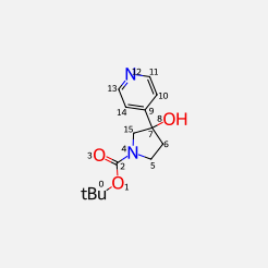 CC(C)(C)OC(=O)N1CCC(O)(c2ccncc2)C1